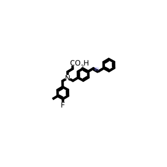 Cc1cc(CN(CCC(=O)O)Cc2ccc(/C=C/c3ccccc3)cc2)ccc1F